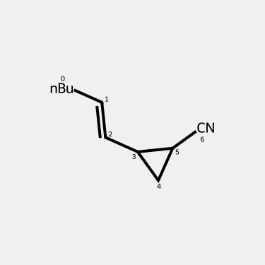 CCCCC=CC1CC1C#N